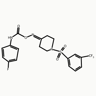 O=C(Nc1ccc(F)cc1)ON=C1CCN(S(=O)(=O)c2cccc(C(F)(F)F)c2)CC1